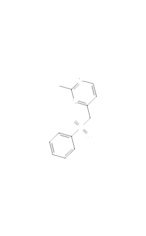 O=S(=O)(Cc1ccnc(Cl)n1)c1ccccc1